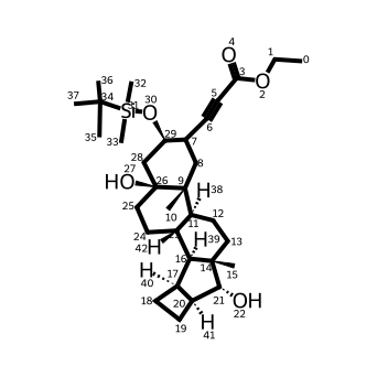 CCOC(=O)C#CC1C[C@]2(C)[C@H]3CC[C@@]4(C)[C@@H]([C@@H]5CC[C@@H]5[C@H]4O)[C@@H]3CC[C@]2(O)C[C@H]1O[Si](C)(C)C(C)(C)C